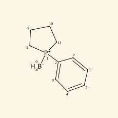 [BH3-][P+]1(c2ccccc2)CCCC1